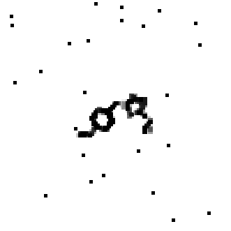 C=Cc1ccc(Cn2nnc(SCC)n2)cc1